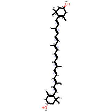 CC1=C(/C=C/C(C)=C/C=C/C(C)=C/C=C/C=C(C)/C=C/C=C(C)/C=C/C2=C(C)C[C@@H](O)CC2(C)C)C(C)(C)CC(O)C1